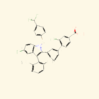 Cc1cccc(C)c1-c1c(-c2cccc(-c3ccc(C(=O)O)cc3Cl)c2)n(Sc2ccc(C(F)F)cc2)c2ccc(F)cc12